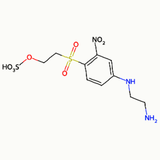 NCCNc1ccc(S(=O)(=O)CCOS(=O)(=O)O)c([N+](=O)[O-])c1